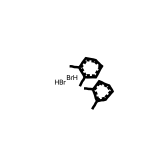 Br.Br.Cc1ccccc1C.Cc1ccccc1C